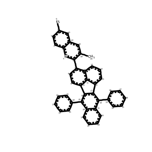 CCc1ccc2nc(-c3ccc4c5c(cccc35)-c3c-4c(-c4ccccc4)c4ccccc4c3-c3ccccc3)c(C)cc2c1